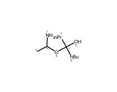 CCCCC(O)(CCC)OC(C)N